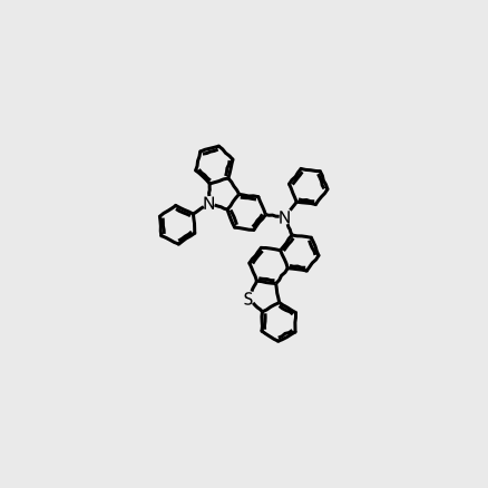 c1ccc(N(c2ccc3c(c2)c2ccccc2n3-c2ccccc2)c2cccc3c2ccc2sc4ccccc4c23)cc1